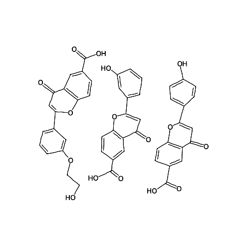 O=C(O)c1ccc2oc(-c3ccc(O)cc3)cc(=O)c2c1.O=C(O)c1ccc2oc(-c3cccc(O)c3)cc(=O)c2c1.O=C(O)c1ccc2oc(-c3cccc(OCCO)c3)cc(=O)c2c1